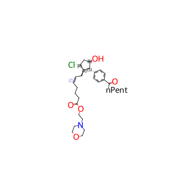 CCCCCC(=O)c1ccc([C@@H]2[C@@H](C/C=C\CCCC(=O)OCCN3CCOCC3)[C@H](Cl)C[C@H]2O)cc1